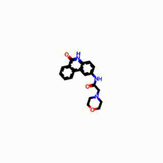 O=C(CN1CCOCC1)Nc1ccc2[nH]c(=O)c3ccccc3c2c1